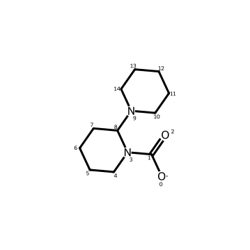 [O]C(=O)N1CCCCC1N1CCCCC1